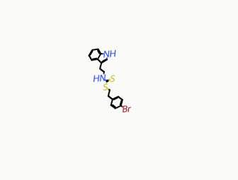 S=C(NCCc1c[nH]c2ccccc12)SCCc1ccc(Br)cc1